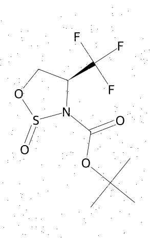 CC(C)(C)OC(=O)N1[C@H](C(F)(F)F)COS1=O